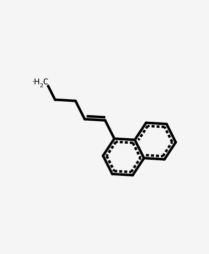 [CH2]CC/C=C/c1cccc2ccccc12